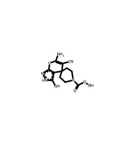 CCCc1[nH]nc2c1C1(CCN(C(=O)OC(C)(C)C)CC1)C(C#N)=C(N)O2